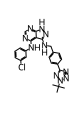 CC(C)(C)n1nnc(-c2ccc(CNc3n[nH]c4ncnc(Nc5cccc(Cl)c5)c34)cc2)n1